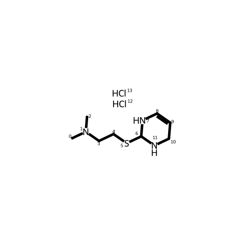 CN(C)CCSC1NC=CCN1.Cl.Cl